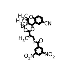 C[C@H](CSC(=O)c1cc([N+](=O)[O-])cc([N+](=O)[O-])c1)C(=O)O[C@H]1c2cc(C#N)ccc2OC(C)(C)[C@@H]1Br